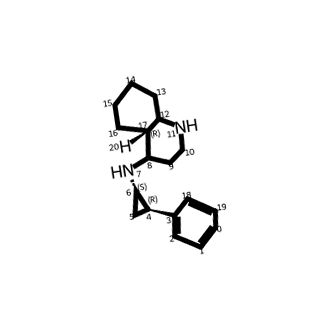 c1ccc([C@H]2C[C@@H]2NC2CCNC3CCCC[C@H]32)cc1